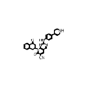 N#Cc1cc2cnc(Nc3ccc(C4=CCNCC4)cc3)nc2n(C2CC(=O)c3ccccc3C2)c1=O